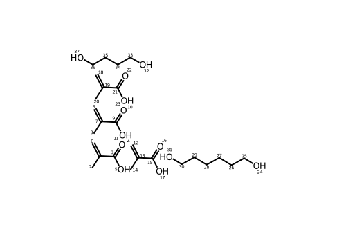 C=C(C)C(=O)O.C=C(C)C(=O)O.C=C(C)C(=O)O.C=C(C)C(=O)O.OCCCCCCO.OCCCCO